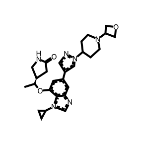 CC(Oc1cc(-c2cnn(C3CCN(C4COC4)CC3)c2)cc2ncn(C3CC3)c12)[C@H]1CNC(=O)C1